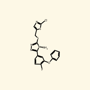 Nn1c(SCc2cnc(Cl)s2)nnc1-c1ccc(F)c(Oc2ccccc2)c1